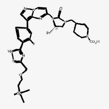 CC(C)[C@H]1CN(CC2CCN(C(=O)O)CC2)C(=O)N1c1ccn2ncc(-c3ccc(-c4nc(COCC[Si](C)(C)C)n[nH]4)c(F)c3)c2n1